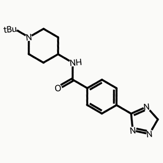 CC(C)(C)N1CCC(NC(=O)c2ccc(C3=NCN=N3)cc2)CC1